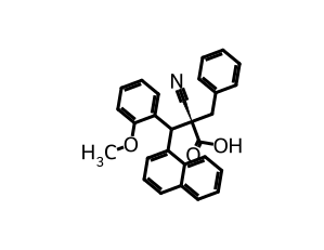 COc1ccccc1C(c1cccc2ccccc12)[C@](C#N)(Cc1ccccc1)C(=O)O